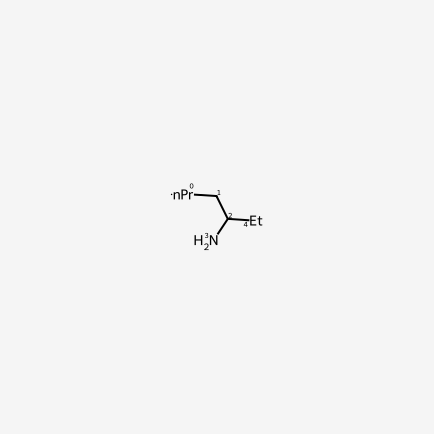 CC[CH]CC(N)CC